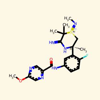 C/N=[S@]1/C[C@@](C)(c2cc(NC(=O)c3cnc(OC)cn3)ccc2F)NC(=N)C1(C)C